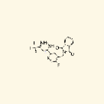 CN/C(=C\C(=N)C(F)(F)F)c1cc(CN2C(=O)c3ccccc3C2=O)c(F)cn1